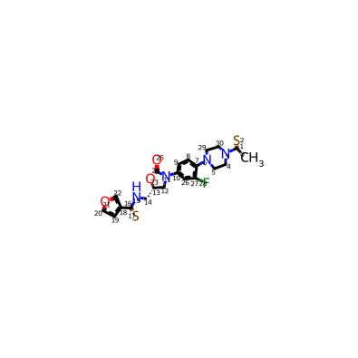 CC(=S)N1CCN(c2ccc(N3C[C@H](CNC(=S)c4ccoc4)OC3=O)cc2F)CC1